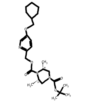 C[C@@H]1CN(C(=O)OC(C)(C)C)C[C@H](C)N1C(=O)OCc1ccc(OCC2CCCCC2)cn1